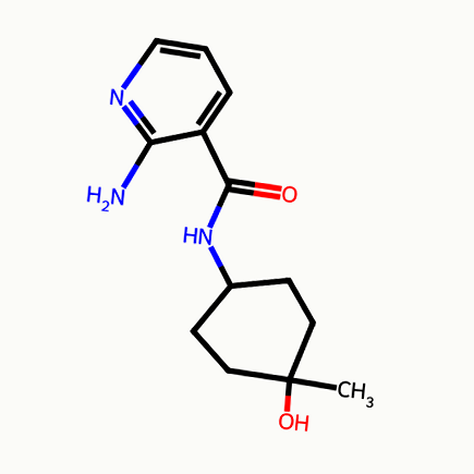 CC1(O)CCC(NC(=O)c2cccnc2N)CC1